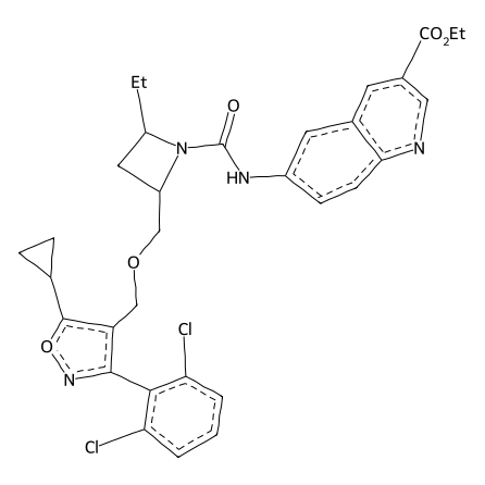 CCOC(=O)c1cnc2ccc(NC(=O)N3C(CC)CC3COCc3c(-c4c(Cl)cccc4Cl)noc3C3CC3)cc2c1